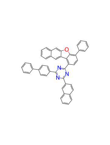 c1ccc(-c2ccc(-c3nc(-c4ccc5ccccc5c4)nc(-c4ccc(-c5ccccc5)c5oc6cc7ccccc7cc6c45)n3)cc2)cc1